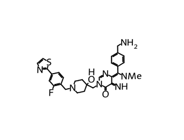 CN/C(=C1/N=CN(CC2(O)CCN(Cc3ccc(-c4nccs4)cc3F)CC2)C(=O)C1=N)c1ccc(CN)cc1